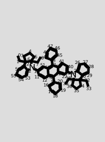 CCC12CCCC1(CC)N(c1ccc3c(-c4ccccc4)c4cc(N5c6ccccc6C6(CC)CCCC56CC)ccc4c(-c4ccccc4)c3c1)c1ccccc12